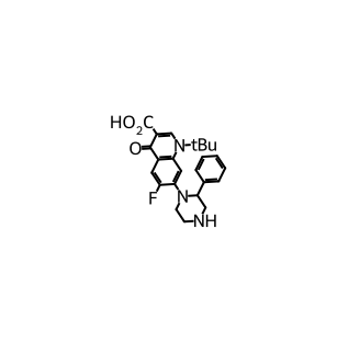 CC(C)(C)n1cc(C(=O)O)c(=O)c2cc(F)c(N3CCNCC3c3ccccc3)cc21